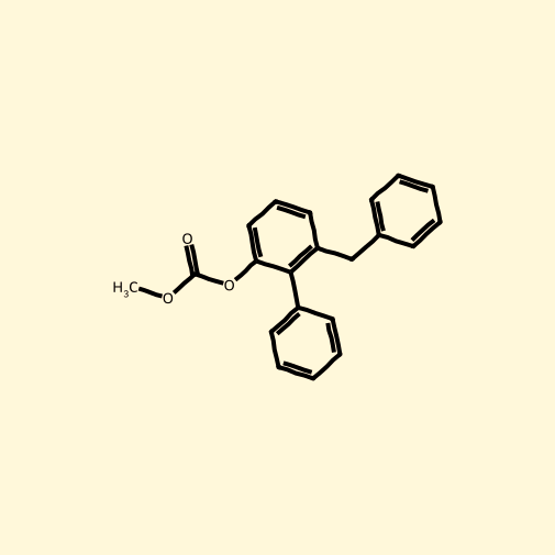 COC(=O)Oc1cccc(Cc2ccccc2)c1-c1ccccc1